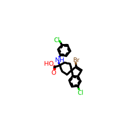 O=C(O)C1(Nc2cccc(Cl)c2)CCC2(CC1)C(Br)=Cc1cc(Cl)ccc12